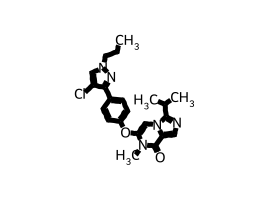 CCCn1cc(Cl)c(-c2ccc(Oc3cn4c(C(C)C)ncc4c(=O)n3C)cc2)n1